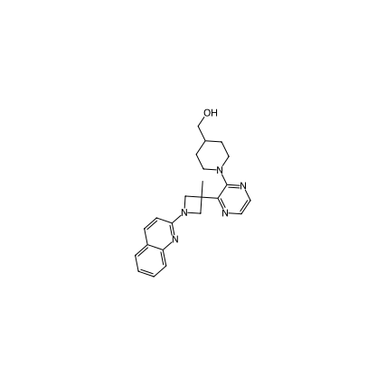 CC1(c2nccnc2N2CCC(CO)CC2)CN(c2ccc3ccccc3n2)C1